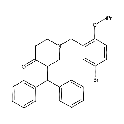 CC(C)Oc1ccc(Br)cc1CN1CCC(=O)C(C(c2ccccc2)c2ccccc2)C1